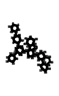 c1ccc(-c2ccc(-c3nc(-c4ccccc4)nc(-c4ccc(-c5ccc6c(c5)-c5ccccc5CC6)c5oc6ccccc6c45)n3)cc2)cc1